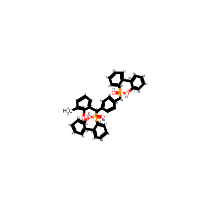 Cc1cccc(C(c2ccc(CP3(=O)Oc4ccccc4-c4ccccc43)cc2)P2(=O)Oc3ccccc3-c3ccccc32)c1O